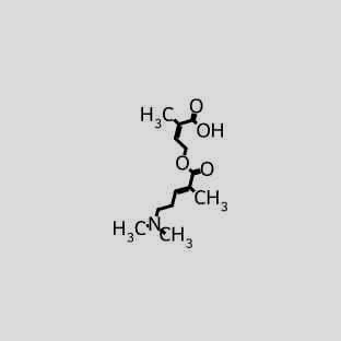 CC(=CCOC(=O)C(C)=CCCN(C)C)C(=O)O